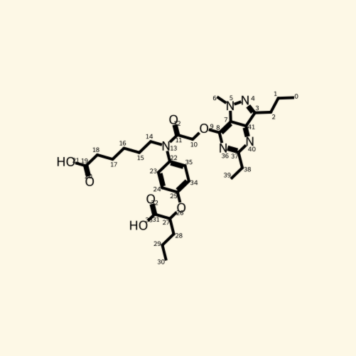 CCCc1nn(C)c2c(OCC(=O)N(CCCCCC(=O)O)c3ccc(OC(CCC)C(=O)O)cc3)nc(CC)nc12